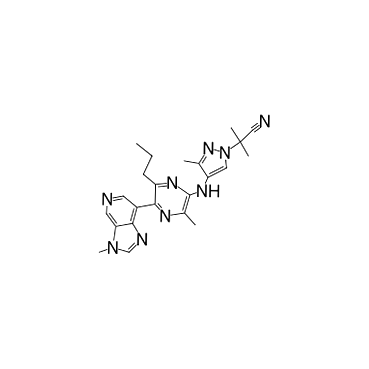 CCCc1nc(Nc2cn(C(C)(C)C#N)nc2C)c(C)nc1-c1cncc2c1ncn2C